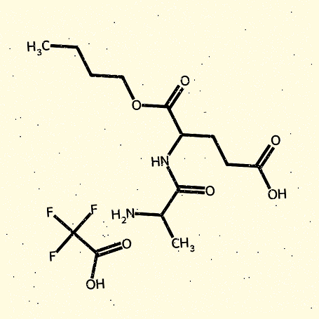 CCCCOC(=O)C(CCC(=O)O)NC(=O)C(C)N.O=C(O)C(F)(F)F